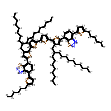 CCCCCCCCCCC(CCCCCCCC)Cc1cc(-c2ccc(-c3ccc(CCCCCC)s3)c3nnsc23)sc1-c1ccc(-c2ccc(-c3sc(-c4ccc(-c5ccc(CCCCCC)s5)c5nnsc45)cc3CC(CCCCCCCC)CCCCCCCCCC)s2)s1